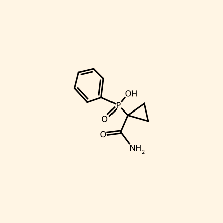 NC(=O)C1(P(=O)(O)c2ccccc2)CC1